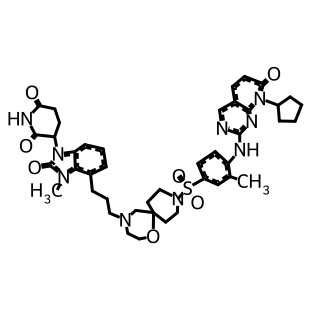 Cc1cc(S(=O)(=O)N2CCC3(CC2)CN(CCCc2cccc4c2n(C)c(=O)n4C2CCC(=O)NC2=O)CCO3)ccc1Nc1ncc2ccc(=O)n(C3CCCC3)c2n1